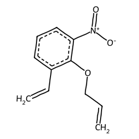 C=CCOc1c(C=C)cccc1[N+](=O)[O-]